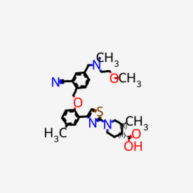 COCCN(C)Cc1ccc(COc2ccc(C)cc2-c2csc(N3CC[C@@H](C(=O)O)[C@@H](C)C3)n2)c(C#N)c1